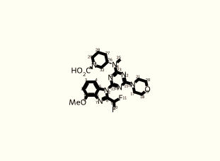 COc1cccc2c1nc(C(F)F)n2-c1nc(N2CCOCC2)nc(N(C)[C@H]2CCCN(C(=O)O)C2)n1